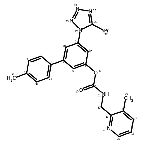 Cc1ccc(-c2cc(OC(=O)NCc3ncccc3C)cc(-n3nnnc3C(C)C)c2)cc1